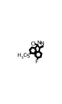 CSc1ccc(C2(Cl)N=NC=C2c2ccc(F)cc2)cc1